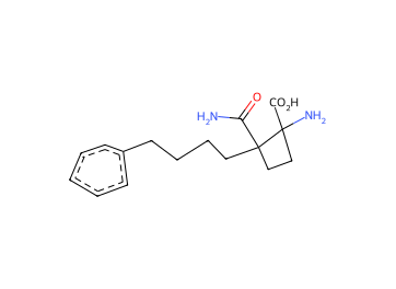 NC(=O)C1(CCCCc2ccccc2)CCC1(N)C(=O)O